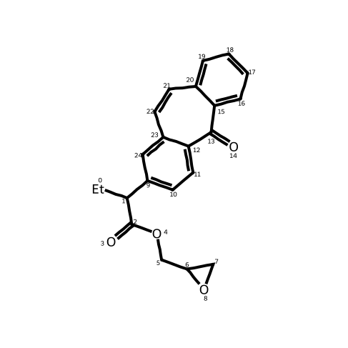 CCC(C(=O)OCC1CO1)c1ccc2c(=O)c3ccccc3ccc2c1